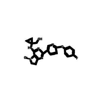 [O-][S@+]1CCc2nc(-c3ccc(Oc4ccc(F)cc4)nc3)nc(NC3(CO)CC3)c21